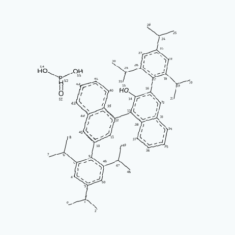 CC(C)c1cc(C(C)C)c(-c2cc(-c3c(O)c(-c4c(C(C)C)cc(C(C)C)cc4C(C)C)cc4ccccc34)c3ccccc3c2)c(C(C)C)c1.O=[PH](O)O